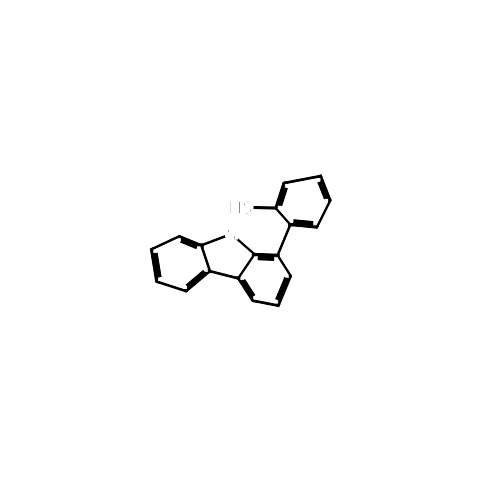 Sc1ccccc1-c1cccc2c1sc1ccccc12